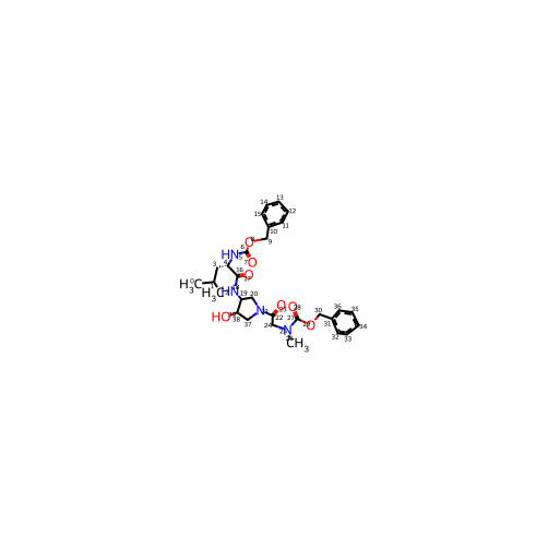 CC(C)C[C@H](NC(=O)OCc1ccccc1)C(=O)NC1CN(C(=O)CN(C)C(=O)OCc2ccccc2)CC1O